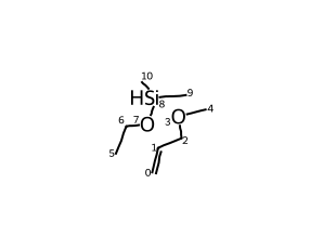 C=CCOC.CCO[SiH](C)C